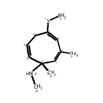 BS/C1=C/C(C)=C\C(C)(NC)/C=C\C1